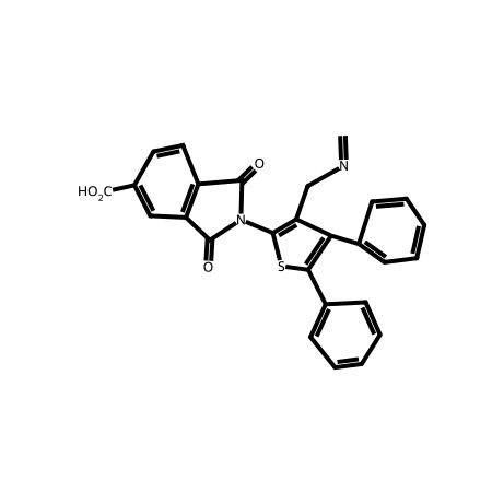 C=NCc1c(N2C(=O)c3ccc(C(=O)O)cc3C2=O)sc(-c2ccccc2)c1-c1ccccc1